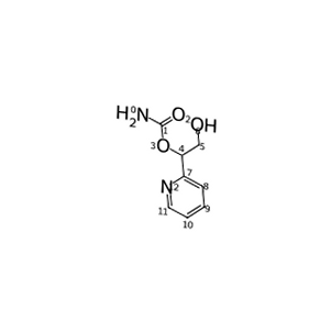 NC(=O)OC(CO)c1ccccn1